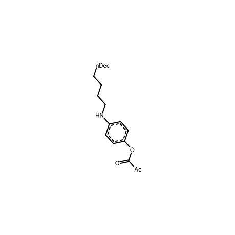 CCCCCCCCCCCCCCNc1ccc(OC(=O)C(C)=O)cc1